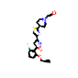 C#CCOc1cccc(F)c1C1CC(c2csc(C3CCN(CC=O)CC3)n2)=NO1